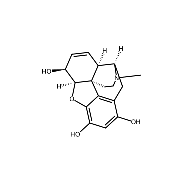 CN1CC[C@]23c4c5c(O)cc(O)c4O[C@H]2[C@@H](O)C=C[C@H]3[C@H]1C5